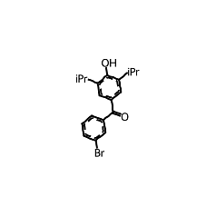 CC(C)c1cc(C(=O)c2cccc(Br)c2)cc(C(C)C)c1O